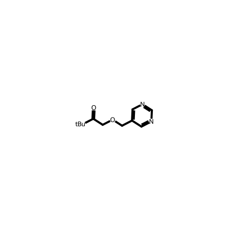 CC(C)(C)C(=O)COCc1cncnc1